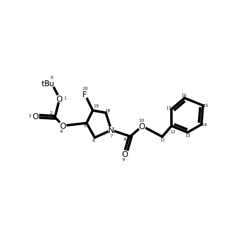 CC(C)(C)OC(=O)OC1CN(C(=O)OCc2ccccc2)CC1F